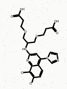 O=C(O)CCOCC(COCCC(=O)O)Nc1cc(-n2ccnc2)c2ccc(Cl)c(Cl)c2n1